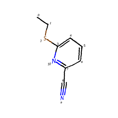 CCSc1cccc(C#N)n1